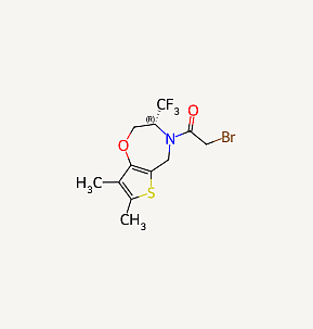 Cc1sc2c(c1C)OC[C@H](C(F)(F)F)N(C(=O)CBr)C2